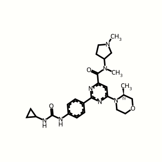 C[C@H]1COCCN1c1cc(C(=O)N(C)C2CCN(C)C2)nc(-c2ccc(NC(=O)NC3CC3)cc2)n1